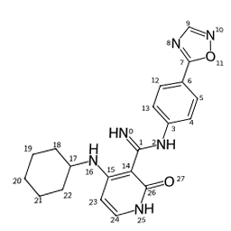 N=C(Nc1ccc(-c2ncno2)cc1)c1c(NC2CCCCC2)cc[nH]c1=O